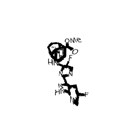 COC(=O)[C@@H]1C2CCCC(CC2)[C@H]1Nc1nc(-c2n[nH]c3ncc(F)cc23)ncc1F